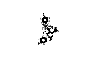 CC(C)N(C(=O)C(CC1CC1)C(=O)NS(=O)(=O)c1ccc(Cl)cc1)c1ccc(F)cc1